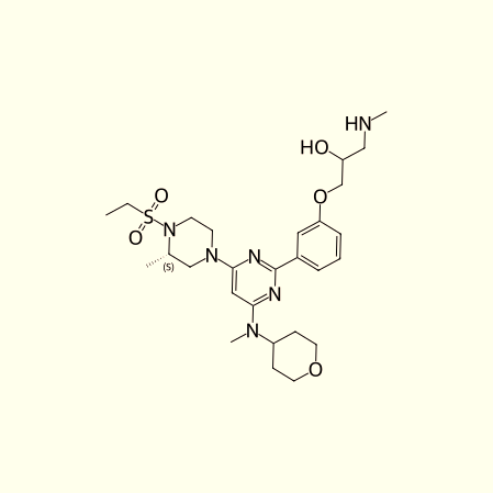 CCS(=O)(=O)N1CCN(c2cc(N(C)C3CCOCC3)nc(-c3cccc(OCC(O)CNC)c3)n2)C[C@@H]1C